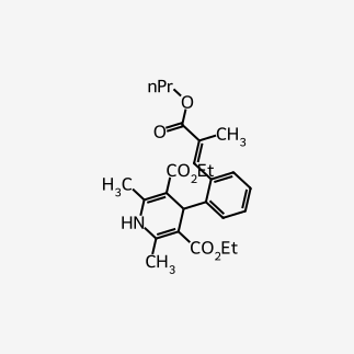 CCCOC(=O)/C(C)=C/c1ccccc1C1C(C(=O)OCC)=C(C)NC(C)=C1C(=O)OCC